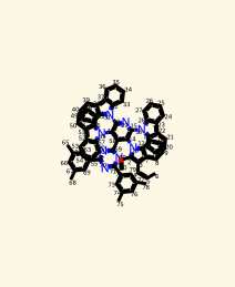 C=Cc1c(/C=C\C)c2ccccc2n1-c1c(-n2c3ccccc3c3ccccc32)nc(-n2c3ccccc3c3ccccc32)c(-n2c3ccccc3c3ccccc32)c1-c1nc(-c2cc(C)cc(C)c2)nc(-c2cc(C)cc(C)c2)n1